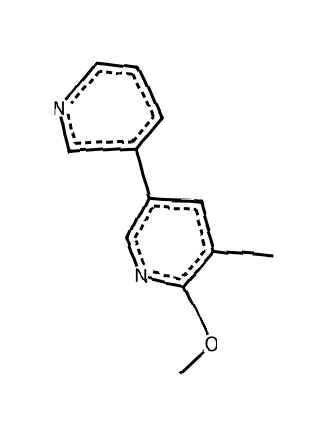 COc1ncc(-c2cccnc2)cc1C